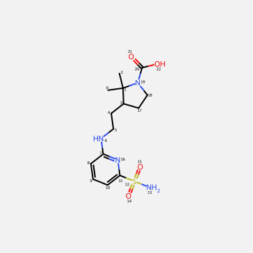 CC1(C)C(CCNc2cccc(S(N)(=O)=O)n2)CCN1C(=O)O